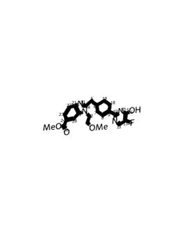 COCCn1c(CC2CC=C(c3ncc(F)c(O)n3)CC2)nc2ccc(C(=O)OC)cc21